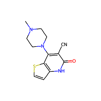 CN1CCN(c2c(C#N)c(=O)[nH]c3ccsc23)CC1